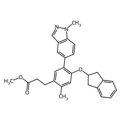 COC(=O)CCc1cc(-c2ccc3c(cnn3C)c2)c(OC2Cc3ccccc3C2)cc1C